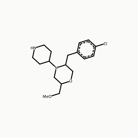 COCC1CN(C2CCNCC2)C(Cc2ccc(Cl)cc2)CO1